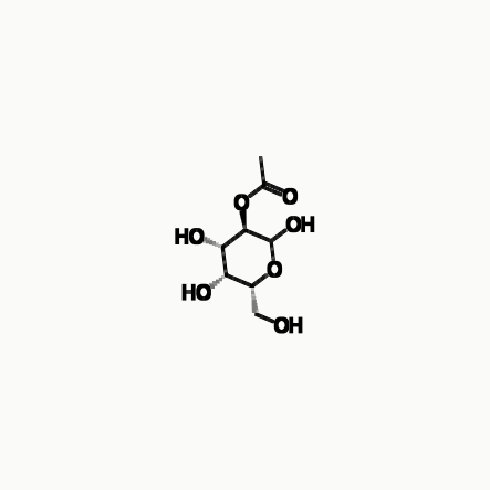 CC(=O)O[C@H]1C(O)O[C@H](CO)[C@H](O)[C@@H]1O